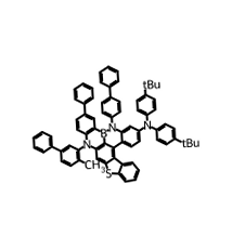 Cc1ccc(-c2ccccc2)cc1N1c2ccc(-c3ccccc3)cc2B2c3c1cc1sc4ccccc4c1c3-c1ccc(N(c3ccc(C(C)(C)C)cc3)c3ccc(C(C)(C)C)cc3)cc1N2c1ccc(-c2ccccc2)cc1